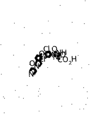 O=C(O)c1nn(-c2cc(Cl)c(Oc3ccc4c(c3)CCN(c3ccncc3)C4=O)c(Cl)c2)c(=O)[nH]c1=O